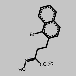 CCOC(=O)/C(CCc1ccc2ccccc2c1Br)=N\O